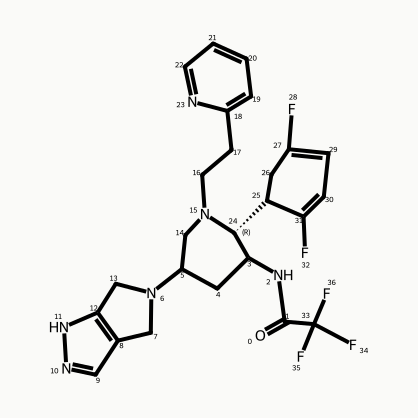 O=C(NC1CC(N2Cc3cn[nH]c3C2)CN(CCc2ccccn2)[C@@H]1C1CC(F)=CC=C1F)C(F)(F)F